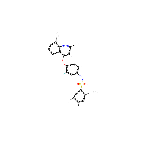 COc1cc(C)c(C)cc1S(=O)(=O)Nc1ccc(Oc2cc(C)nc3c(C(F)(F)F)cccc23)c(F)c1